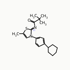 Cc1cn(-c2ccc(C3CCCCC3)cc2)/c(=N/C(=O)C(C)(C)C)s1